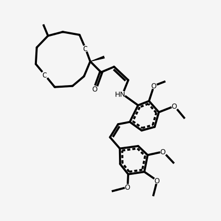 COc1cc(/C=C\c2ccc(OC)c(OC)c2N/C=C\C(=O)[C@]2(C)CCCCCCC(C)CCC2)cc(OC)c1OC